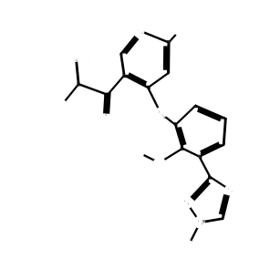 COc1c(Nc2cc(Cl)ncc2C(=O)C(C)C)cccc1-c1ncn(C)n1